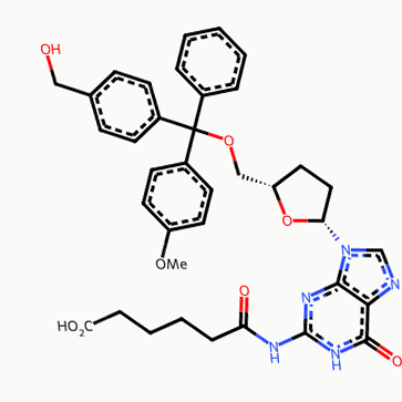 COc1ccc(C(OC[C@@H]2CC[C@H](n3cnc4c(=O)[nH]c(NC(=O)CCCCC(=O)O)nc43)O2)(c2ccccc2)c2ccc(CO)cc2)cc1